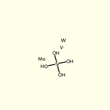 O[Si](O)(O)O.[Mo].[V].[W]